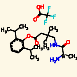 CC(C)c1cccc(C(C)C)c1OC(=O)CC(C)(C)CNC(=O)[C@H](C)N.O=C(O)C(F)(F)F